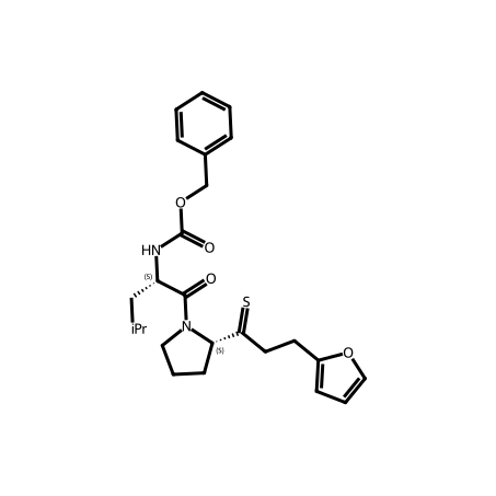 CC(C)C[C@H](NC(=O)OCc1ccccc1)C(=O)N1CCC[C@H]1C(=S)CCc1ccco1